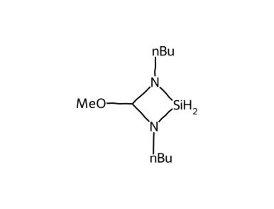 CCCCN1[SiH2]N(CCCC)C1OC